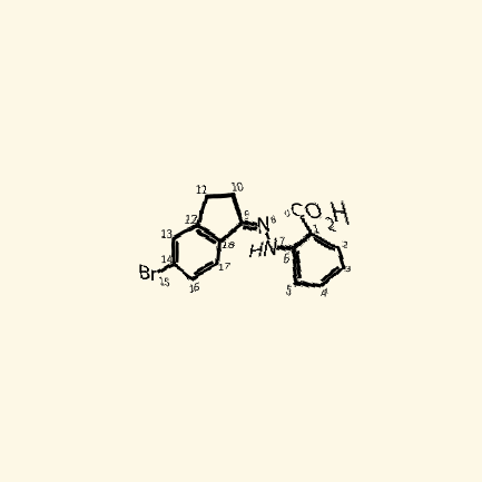 O=C(O)c1ccccc1N/N=C1/CCc2cc(Br)ccc21